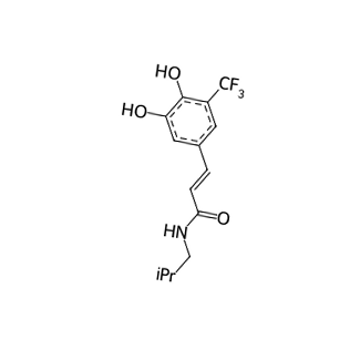 CC(C)CNC(=O)C=Cc1cc(O)c(O)c(C(F)(F)F)c1